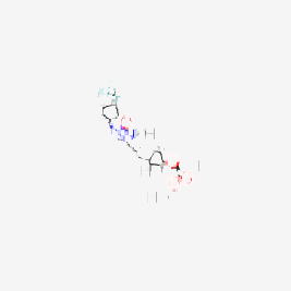 CCOC(=O)C(C)(C)Oc1ccc(CCCC2CN(Cc3ccc(C(F)(F)F)cc3)C(=O)N2C)cc1